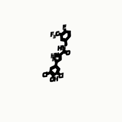 O=C(NCc1ccc(F)c(C(F)(F)F)c1)c1cc(-c2cc(Cl)c(O)c(Cl)c2)n[nH]1